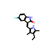 CCc1c(C)[nH]c(/C=C2\C(=O)Nc3ccc(F)cc32)c1C